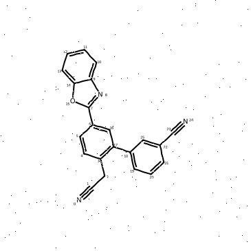 N#CCc1ccc(-c2nc3ccccc3o2)cc1-c1cccc(C#N)c1